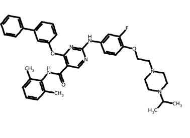 Cc1cccc(C)c1NC(=O)c1cnc(Nc2ccc(OCCN3CCN(C(C)C)CC3)c(F)c2)nc1Oc1cccc(-c2ccccc2)c1